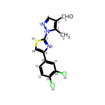 Cc1c(C=O)cnn1-c1nc(-c2ccc(Cl)c(Cl)c2)cs1